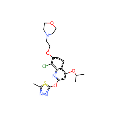 Cc1nnc(Oc2cc(OC(C)C)c3ccc(OCCN4CCOCC4)c(Cl)c3n2)s1